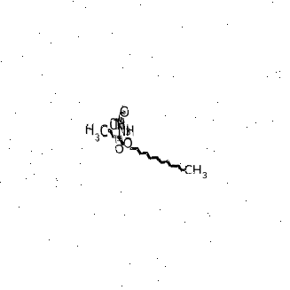 CCCCCCCCCCCCOC(=O)[C@H](CC(C)C)NN=C=O